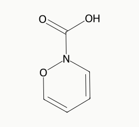 O=C(O)N1C=CC=CO1